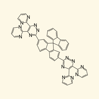 c1cnc(-c2nnc(-c3ccc4c(c3)C3(c5ccccc5-c5ccccc53)c3cc(-c5nnc(-c6ncccn6)c(-c6ncccn6)n5)ccc3-4)nc2-c2ncccn2)nc1